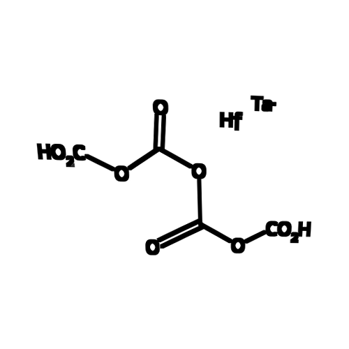 O=C(O)OC(=O)OC(=O)OC(=O)O.[Hf].[Ta]